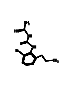 CCCc1cccc(Br)c1NC(=O)NC(=N)N